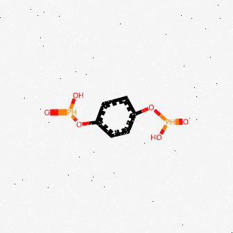 O=[PH](O)Oc1ccc(O[PH](=O)O)cc1